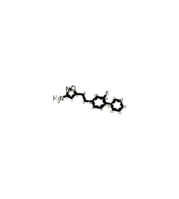 Nc1cc(CCc2ccc(-c3ccccc3)c(F)c2)on1